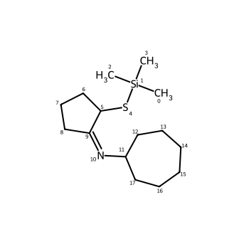 C[Si](C)(C)SC1CCCC1=NC1CCCCCC1